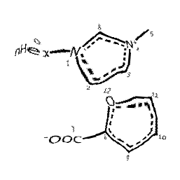 CCCCCCn1cc[n+](C)c1.O=C([O-])c1ccco1